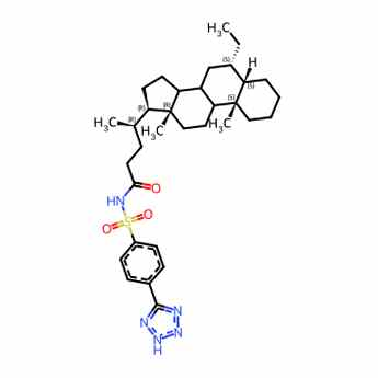 CC[C@H]1CC2C3CC[C@H]([C@H](C)CCC(=O)NS(=O)(=O)c4ccc(-c5nn[nH]n5)cc4)[C@@]3(C)CCC2[C@@]2(C)CCCC[C@@H]12